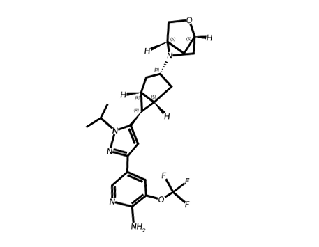 CC(C)n1nc(-c2cnc(N)c(OC(F)(F)F)c2)cc1[C@H]1[C@@H]2C[C@H](N3C[C@@H]4C[C@H]3CO4)C[C@@H]21